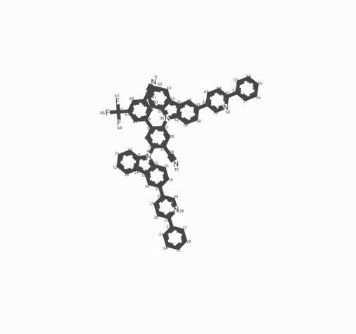 N#Cc1cc(-c2cc(-n3c4ccccc4c4cc(-c5ccc(-c6ccccc6)nc5)ccc43)c(C#N)cc2-n2c3ccccc3c3cc(-c4ccc(-c5ccccc5)nc4)ccc32)cc(C(F)(F)F)c1